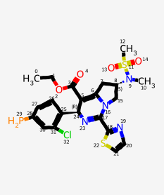 CCOC(=O)C1=C2C[C@H](N(C)S(C)(=O)=O)CN2C(c2nccs2)=N[C@H]1c1ccc(P)cc1Cl